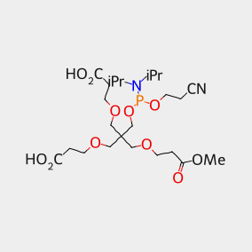 COC(=O)CCOCC(COCCC(=O)O)(COCCC(=O)O)COP(OCCC#N)N(C(C)C)C(C)C